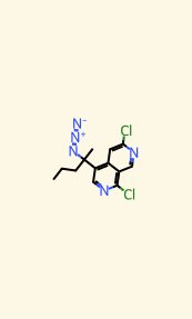 CCCC(C)(N=[N+]=[N-])c1cnc(Cl)c2cnc(Cl)cc12